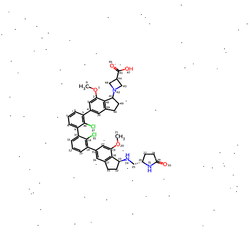 COc1cc(-c2cccc(-c3cccc(-c4cc5c(c(OC)c4)[C@@H](NC[C@@H]4CCC(=O)N4)CC5)c3Cl)c2Cl)cc2c1C(N1CC(C(=O)O)C1)CC2